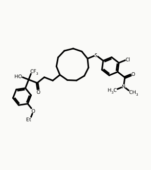 CCOc1cccc(C(O)(C(=O)CCC2CCCCCC(Sc3ccc(C(=O)N(C)C)c(Cl)c3)CCCC2)C(F)(F)F)c1